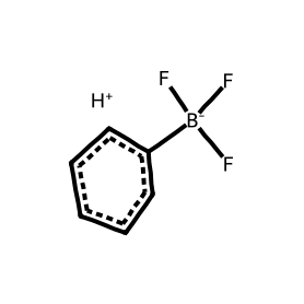 F[B-](F)(F)c1ccccc1.[H+]